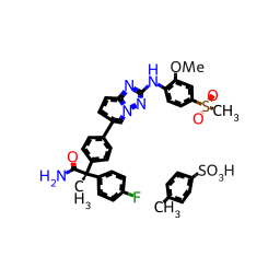 COc1cc(S(C)(=O)=O)ccc1Nc1nc2ccc(-c3ccc([C@@](C)(C(N)=O)c4ccc(F)cc4)cc3)cn2n1.Cc1ccc(S(=O)(=O)O)cc1